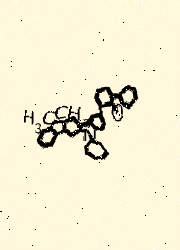 CC1(C)c2ccccc2-c2cc3c(cc21)c1cc(-c2cccc4c2oc2ccccc24)ccc1n3C1=CC=CC=CC1